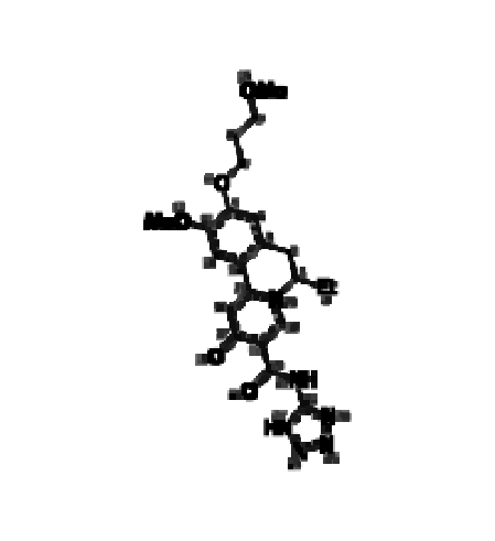 CCC1Cc2cc(OCCCOC)c(OC)cc2-c2cc(=O)c(C(=O)Nc3nnn[nH]3)cn21